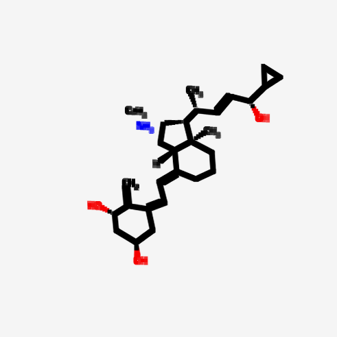 C=C1/C(=C\C=C2/CCC[C@]3(C)[C@@H]([C@H](C)/C=C/[C@@H](O)C4CC4)CC[C@@H]23)C[C@@H](O)C[C@@H]1O.N.[CaH2]